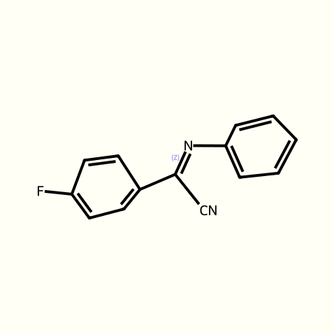 N#C/C(=N\c1ccccc1)c1ccc(F)cc1